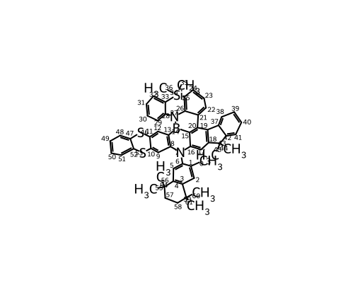 Cc1cc2c(cc1N1c3cc4c(cc3B3c5c1cc1c(c5-c5cccc6c5N3c3ccccc3[Si]6(C)C)-c3ccccc3C1(C)C)Sc1ccccc1S4)C(C)(C)CCC2(C)C